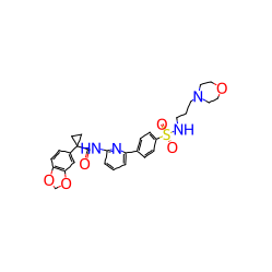 O=C(Nc1cccc(-c2ccc(S(=O)(=O)NCCCN3CCOCC3)cc2)n1)C1(c2ccc3c(c2)OCO3)CC1